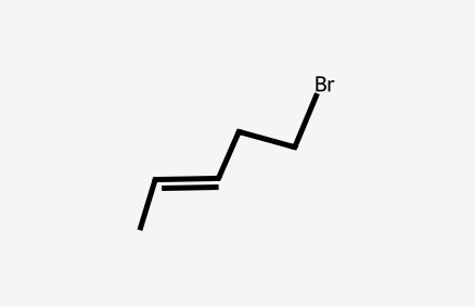 CC=CCCBr